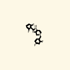 Fc1ccc(CN2C=Cc3[nH]c(-c4c(F)cccc4F)nc3C2)c(F)c1